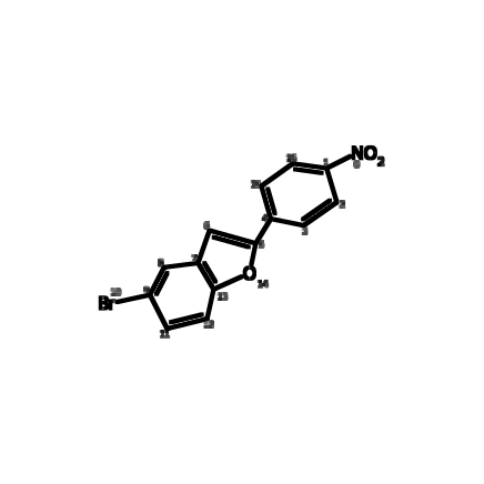 O=[N+]([O-])c1ccc(-c2cc3cc(Br)ccc3o2)cc1